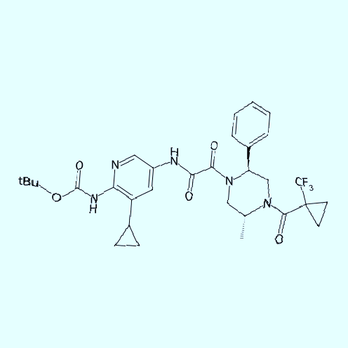 C[C@@H]1CN(C(=O)C(=O)Nc2cnc(NC(=O)OC(C)(C)C)c(C3CC3)c2)[C@@H](c2ccccc2)CN1C(=O)C1(C(F)(F)F)CC1